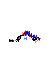 COc1ccc(CCC(=O)Nc2nonc2/C=N/ONc2ccc(F)c(Br)c2)cc1